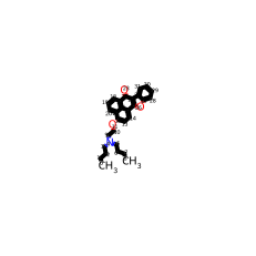 CCCCN(CCCC)CCOc1ccc2c3c(cccc13)C(=O)c1c-2oc2ccccc12